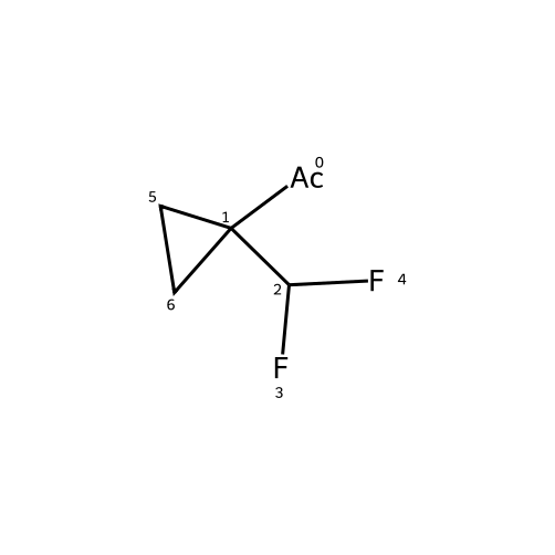 CC(=O)C1(C(F)F)CC1